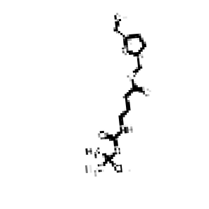 CC(C)(C)OC(=O)NCCCC(=O)OC[C@@H]1CC[C@H](CO)O1